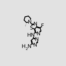 C[C@@H]1CCCCN1c1nc2c(F)cnc(Nc3cc(N)ncn3)c2s1